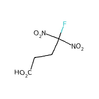 O=C(O)CCC(F)([N+](=O)[O-])[N+](=O)[O-]